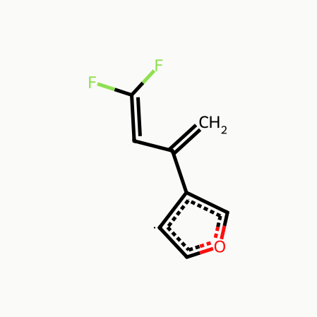 C=C(C=C(F)F)c1[c]coc1